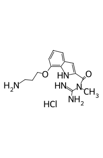 CN(C(=N)N)C(=O)c1cc2cccc(OCCCN)c2[nH]1.Cl